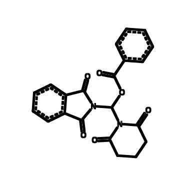 O=C(OC(N1C(=O)CCCC1=O)N1C(=O)c2ccccc2C1=O)c1ccccc1